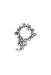 CC(C)C[C@@H]1NC(=O)CNC(=O)[C@H](Cc2ccccc2)N(C)C(=O)[C@H](C)NC(=O)[C@H](C)NC(=O)C[C@@H](C(=O)N(C)[C@@H](C)C(=O)N[C@@H](CO)C(=O)NCC(N)=O)NC(=O)[C@H](Cc2ccccc2)NC(=O)[C@H](C(C)C)NC(=O)[C@H](C)NC1=O